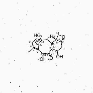 CC1=C2[C@@H](O)C(=O)[C@]3(C)C(O)CC4OC[C@H]4C3CC(O)(CC1)C2(C)C